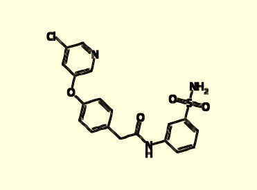 NS(=O)(=O)c1cccc(NC(=O)Cc2ccc(Oc3cncc(Cl)c3)cc2)c1